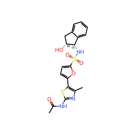 CC(=O)Nc1nc(C)c(-c2ccc(S(=O)(=O)N[C@H]3c4ccccc4C[C@H]3O)o2)s1